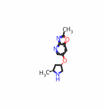 Cc1nc2ncc(O[C@H]3CN[C@@H](C)C3)cc2o1